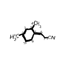 CC1=CC(C)C(=CCC#N)CC1